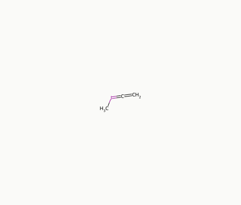 C=C=IC